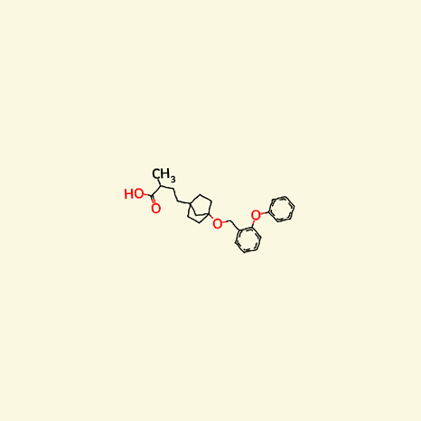 CC(CCC12CCC(OCc3ccccc3Oc3ccccc3)(CC1)C2)C(=O)O